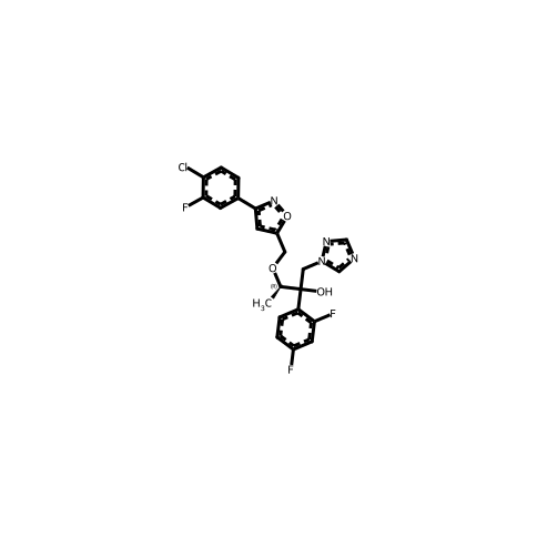 C[C@@H](OCc1cc(-c2ccc(Cl)c(F)c2)no1)C(O)(Cn1cncn1)c1ccc(F)cc1F